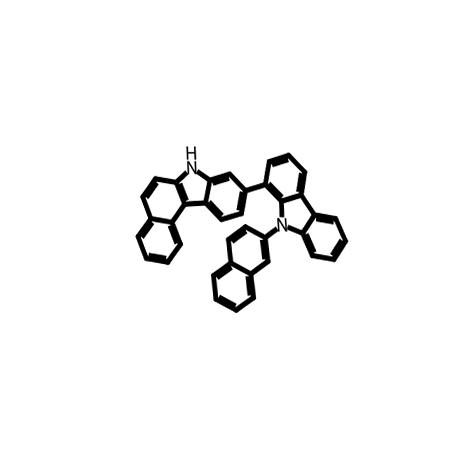 c1ccc2cc(-n3c4ccccc4c4cccc(-c5ccc6c(c5)[nH]c5ccc7ccccc7c56)c43)ccc2c1